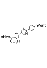 CCCCCCC(C(=O)O)c1ccc(-c2cnc(-c3ccc(CCCCC)cc3)nc2)cc1